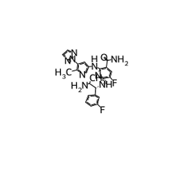 Cc1ncc(Nc2nc(N[C@H](c3cccc(F)c3)[C@H](C)N)c(F)cc2C(N)=O)cc1-n1nccn1